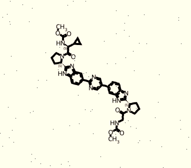 COC(=O)NCC(=O)N1CCC[C@H]1c1nc2ccc(-c3cnc(-c4ccc5[nH]c([C@@H]6CCCN6C(=O)[C@@H](NC(=O)OC)C6CC6)nc5c4)nc3)cc2[nH]1